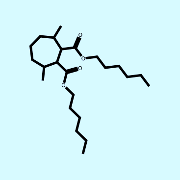 CCCCCCOC(=O)C1C(C)CCCC(C)C1C(=O)OCCCCCC